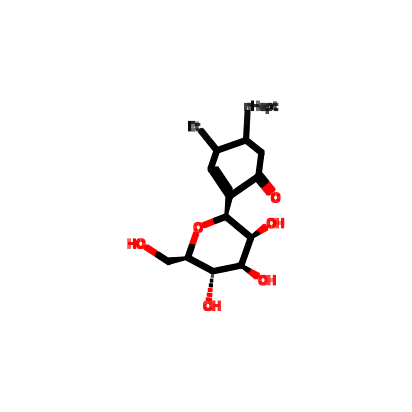 CCCCCCCC1CC(=O)C([C@@H]2O[C@H](CO)[C@@H](O)[C@H](O)[C@@H]2O)=CC1CC